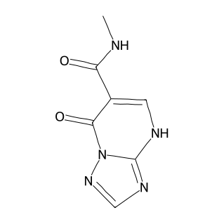 CNC(=O)c1c[nH]c2ncnn2c1=O